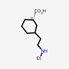 CCNCCC1CCC[C@H](C(=O)O)C1